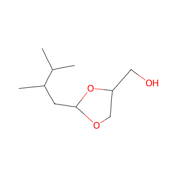 CC(C)C(C)CC1OCC(CO)O1